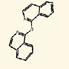 c1ccc2c(Oc3nccc4ccccc34)nccc2c1